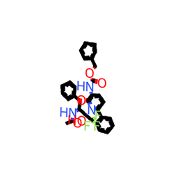 CC(=O)NC(Cc1ccccc1)C(O)(n1c(-c2ccccc2)ccc(NC(=O)OCc2ccccc2)c1=O)C(F)(F)F